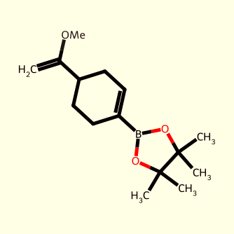 C=C(OC)C1CC=C(B2OC(C)(C)C(C)(C)O2)CC1